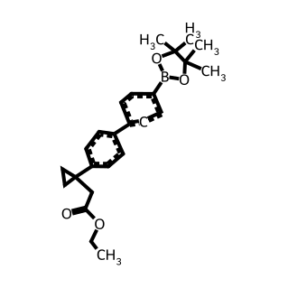 CCOC(=O)CC1(c2ccc(-c3ccc(B4OC(C)(C)C(C)(C)O4)cc3)cc2)CC1